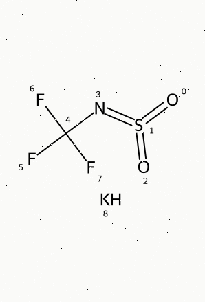 O=S(=O)=NC(F)(F)F.[KH]